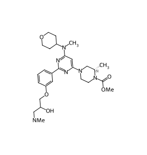 CNCC(O)COc1cccc(-c2nc(N3CCN(C(=O)OC)[C@@H](C)C3)cc(N(C)C3CCOCC3)n2)c1